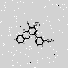 [C-]#[N+]c1c(C(F)(F)F)cc(-c2cccc(OC)c2)n(Cc2ccccc2)c1=O